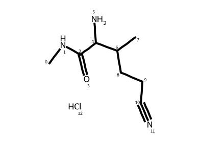 CNC(=O)C(N)C(C)CCC#N.Cl